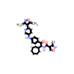 CCc1nocc1C(=O)N[C@H](C(=O)c1ccc(Nc2ccc(-c3c(C)noc3C)nc2)cc1)C1CCCCCC1